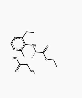 CCOC(=O)[C@H](C)Nc1c(C)cccc1CC.NCC(=O)O